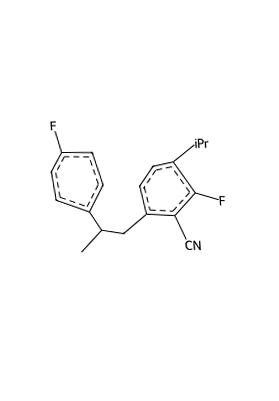 CC(C)c1ccc(CC(C)c2ccc(F)cc2)c(C#N)c1F